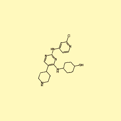 OC1CCC(Nc2nc(Nc3ccnc(Cl)c3)ncc2C2CCNCC2)CC1